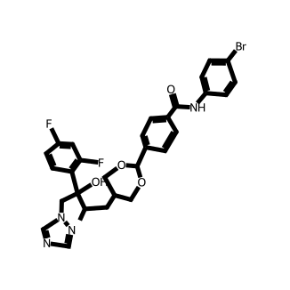 CC(CC1COC(c2ccc(C(=O)Nc3ccc(Br)cc3)cc2)OC1)C(O)(Cn1cncn1)c1ccc(F)cc1F